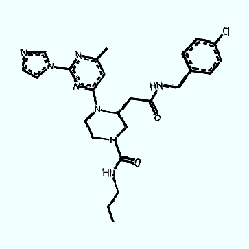 CCCNC(=O)N1CCN(c2cc(C)nc(-n3ccnc3)n2)C(CC(=O)NCc2ccc(Cl)cc2)C1